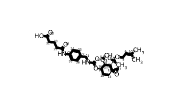 CO[C@H]1[C@H](C(C)(C)OCC=C(C)C)[C@]2(CC[C@H]1OC(=O)NCc1ccc(NC(=O)CCCC(=O)O)cc1)CO2